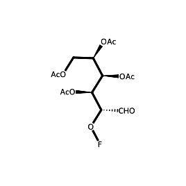 CC(=O)OC[C@@H](OC(C)=O)[C@@H](OC(C)=O)[C@H](OC(C)=O)[C@H](C=O)OF